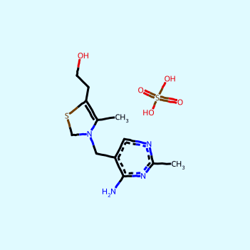 CC1=C(CCO)SCN1Cc1cnc(C)nc1N.O=S(=O)(O)O